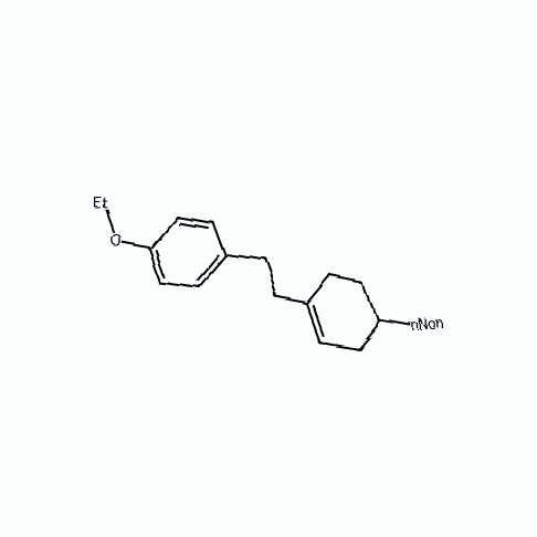 CCCCCCCCCC1CC=C(CCc2ccc(OCC)cc2)CC1